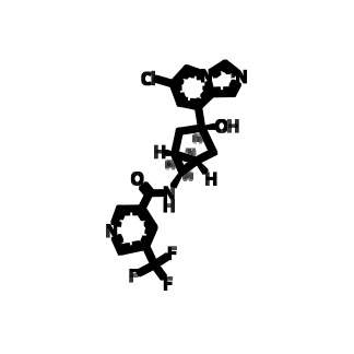 O=C(N[C@H]1[C@@H]2C[C@](O)(c3cc(Cl)cn4cncc34)C[C@@H]21)c1cncc(C(F)(F)F)c1